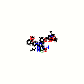 CCCCc1nc(Cl)c(C(NC=O)c2cc3c(OCC(O)CN(C(=O)OC(C)(C)C)C(C)C)cccc3[nH]2)n1Cc1ccc(-c2ccccc2C(=O)OC)cc1